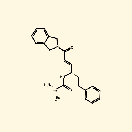 CC[C@@H](C)[C@H](N)C(=O)N[C@H](C=CC(=O)N1Cc2ccccc2C1)CCc1ccccc1